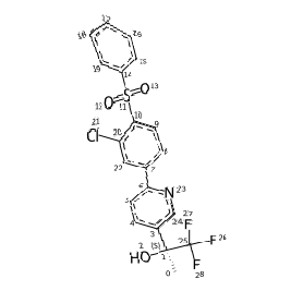 C[C@](O)(c1ccc(-c2ccc(S(=O)(=O)c3ccccc3)c(Cl)c2)nc1)C(F)(F)F